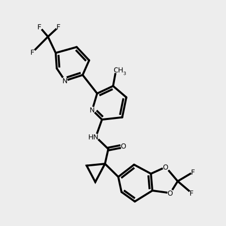 Cc1ccc(NC(=O)C2(c3ccc4c(c3)OC(F)(F)O4)CC2)nc1-c1ccc(C(F)(F)F)cn1